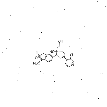 CN1c2ccc(C3CN(c4ccncc4Cl)CCC3(C#N)CCO)cc2CS1(=O)=O